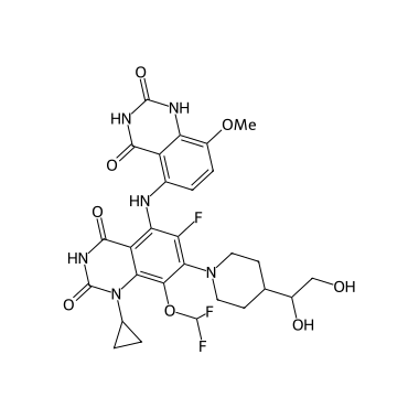 COc1ccc(Nc2c(F)c(N3CCC(C(O)CO)CC3)c(OC(F)F)c3c2c(=O)[nH]c(=O)n3C2CC2)c2c(=O)[nH]c(=O)[nH]c12